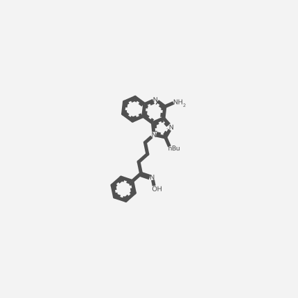 CCCCc1nc2c(N)nc3ccccc3c2n1CCCC(=NO)c1ccccc1